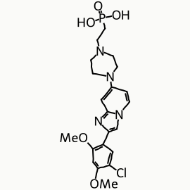 COc1cc(OC)c(-c2cn3ccc(N4CCN(CCP(=O)(O)O)CC4)cc3n2)cc1Cl